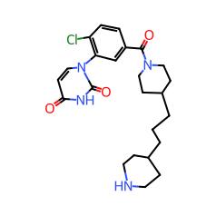 O=C(c1ccc(Cl)c(-n2ccc(=O)[nH]c2=O)c1)N1CCC(CCCC2CCNCC2)CC1